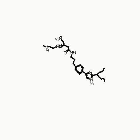 CCCC(CCC)c1nc(-c2ccc(CCCNC(=O)CC(CNC)CNCCNC)cc2)c[nH]1